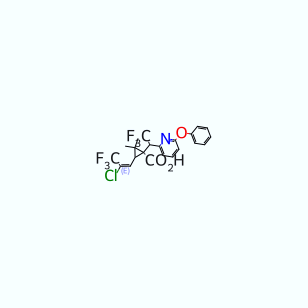 CC1(C)C(/C=C(/Cl)C(F)(F)F)C1(C(=O)O)C(c1cccc(Oc2ccccc2)n1)C(F)(F)F